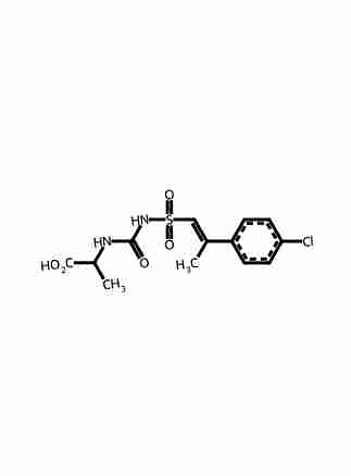 C/C(=C\S(=O)(=O)NC(=O)NC(C)C(=O)O)c1ccc(Cl)cc1